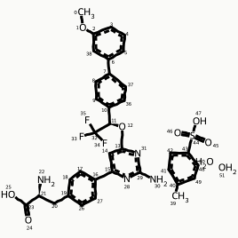 COc1cccc(-c2ccc([C@@H](Oc3cc(-c4ccc(C[C@H](N)C(=O)O)cc4)nc(N)n3)C(F)(F)F)cc2)c1.Cc1ccc(S(=O)(=O)O)cc1.O.O